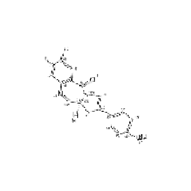 Cc1cc2c(cc1C)C(=O)N1C=C(c3ccc(C(C)(C)C)cc3)C[C@H]1C=N2